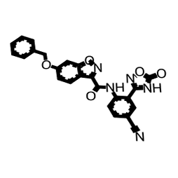 N#Cc1ccc(NC(=O)c2noc3cc(OCc4ccccc4)ccc23)c(-c2noc(=O)[nH]2)c1